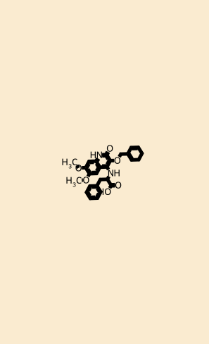 COc1cc2[nH]c(=O)c(OCC3=CCCC=C3)c(NC(Cc3ccccc3)C(=O)O)c2cc1OC